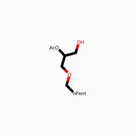 CCCCCCOCC(CO)OC(C)=O